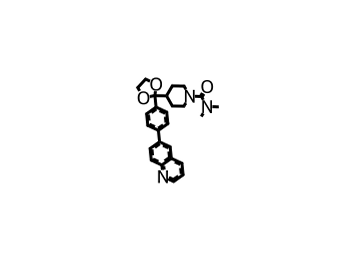 CN(C)C(=O)N1CCC(C2(c3ccc(-c4ccc5ncccc5c4)cc3)OCCO2)CC1